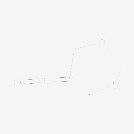 O=C=C1COCSC1